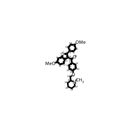 COc1ccc(-c2sc3cc(OC)ccc3c2C(=O)c2ccc(OCC3CCCCN3C)cc2)cc1